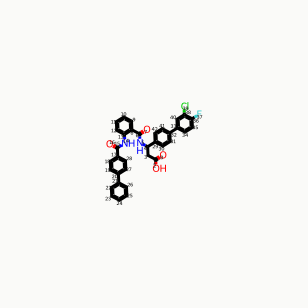 O=C(O)CC(NC(=O)c1ccccc1NC(=O)c1ccc(-c2ccccc2)cc1)c1ccc(-c2ccc(F)c(Cl)c2)cc1